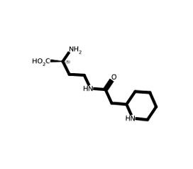 N[C@@H](CCNC(=O)CC1CCCCN1)C(=O)O